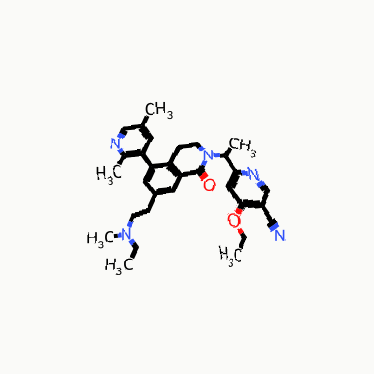 CCOc1cc(C(C)N2CCc3c(cc(CCN(C)CC)cc3-c3cc(C)cnc3C)C2=O)ncc1C#N